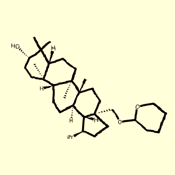 CC(C)[C@@H]1CC[C@]2(COC3CCCCO3)CC[C@]3(C)[C@H](CC[C@@H]4[C@@]5(C)CC[C@H](O)C(C)(C)[C@@H]5CC[C@]43C)[C@@H]12